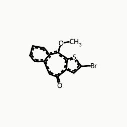 COc1c2ccccc2cc(=O)c2cc(Br)sc12